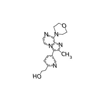 Cc1nc2c(N3CCOCC3)nccn2c1-c1ccc(CCO)nc1